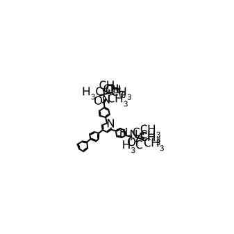 CC(C)(C)C1(C(C)(C)C)COC(c2ccc(-c3cc(-c4ccc(-c5ccccc5)cc4)cc(-c4ccc(C5=NC(C(C)(C)C)(C(C)(C)C)CO5)cc4)n3)cc2)=N1